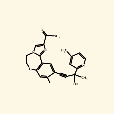 Cc1ccnc(C(C)(O)C#Cc2cc3c(cc2F)OCCn2cc(C(N)=O)nc2-3)c1